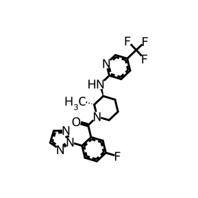 C[C@@H]1[C@@H](Nc2ccc(C(F)(F)F)cn2)CCCN1C(=O)c1cc(F)ccc1-n1nccn1